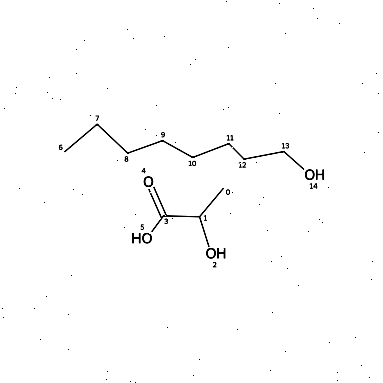 CC(O)C(=O)O.CCCCCCCCO